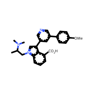 COc1ccc(-c2cncc(-c3cn(CC(C)N(C)C)c4cccc(C(=O)O)c34)c2)cc1